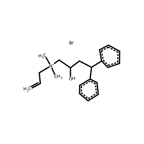 C=CC[N+](C)(C)CC(O)CC(c1ccccc1)c1ccccc1.[Br-]